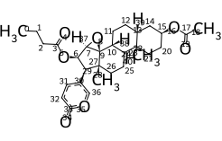 CCCC(=O)O[C@H]1[C@H]2O[C@]23[C@@H]2CC[C@@H]4C[C@@H](OC(C)=O)CC[C@]4(C)[C@H]2CC[C@]3(C)[C@H]1c1ccc(=O)oc1